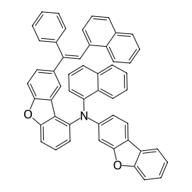 C(=C(/c1ccccc1)c1ccc2oc3cccc(N(c4ccc5c(c4)oc4ccccc45)c4cccc5ccccc45)c3c2c1)/c1cccc2ccccc12